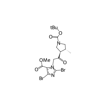 COC(=O)c1c(Br)nc(Br)n1CC(=O)[C@H]1CN(C(=O)OC(C)(C)C)C[C@@H]1C